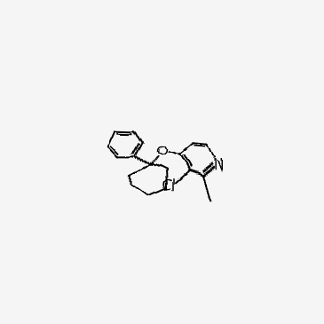 Cc1nccc(OC2(c3ccccc3)CCCCC2)c1Cl